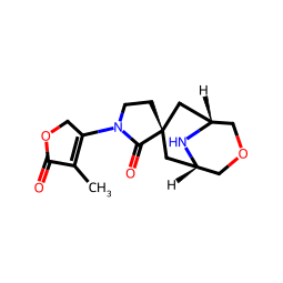 CC1=C(N2CC[C@@]3(C[C@H]4COC[C@@H](C3)N4)C2=O)COC1=O